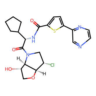 O=C(N[C@H](C(=O)N1C[C@H](Cl)[C@H]2OC[C@H](O)[C@H]21)C1CCCC1)c1ccc(-c2cnccn2)s1